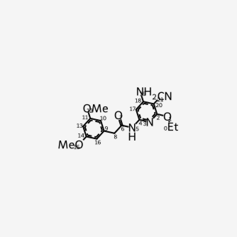 CCOc1nc(NC(=O)Cc2cc(OC)cc(OC)c2)cc(N)c1C#N